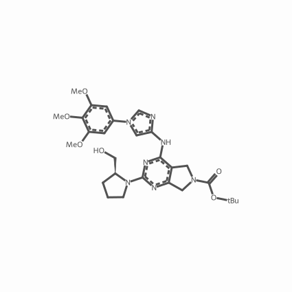 COc1cc(-n2cnc(Nc3nc(N4CCC[C@H]4CO)nc4c3CN(C(=O)OC(C)(C)C)C4)c2)cc(OC)c1OC